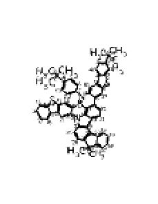 CC(C)(C)c1ccc(N2B3c4cc5sc6ccccc6c5cc4-n4c5ccc6c(c5c5ccc(c3c54)-c3cc4sc5cc(C(C)(C)C)ccc5c4cc32)-c2ccccc2C6(C)C)cc1